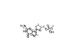 CSP(=O)(O)OCC1CC[C@H](n2cnc3c(=O)[nH]c(N)nc32)O1